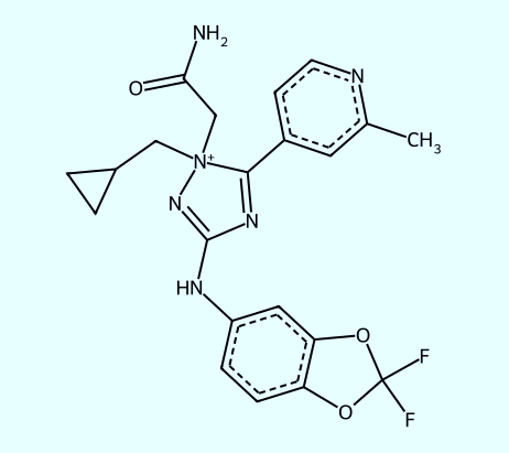 Cc1cc(C2=NC(Nc3ccc4c(c3)OC(F)(F)O4)=N[N+]2(CC(N)=O)CC2CC2)ccn1